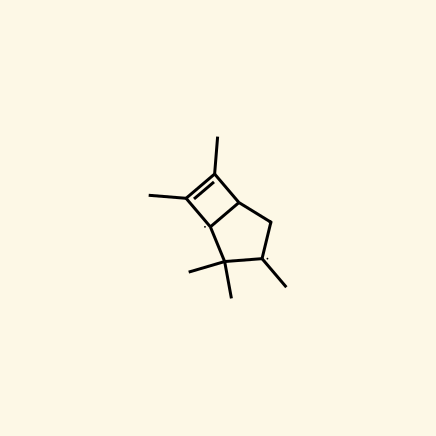 C[C]1CC2[C](C(C)=C2C)C1(C)C